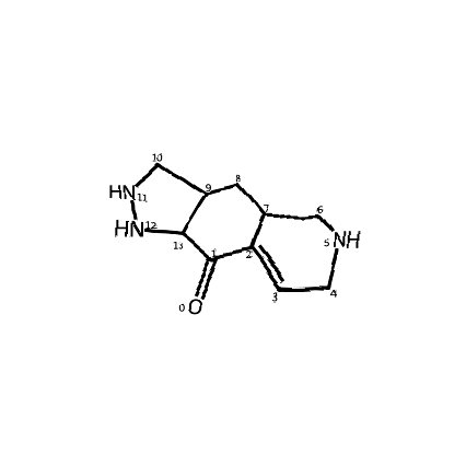 O=C1C2=CCNCC2CC2CNNC12